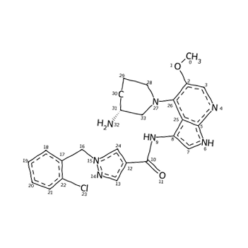 COc1cnc2[nH]cc(NC(=O)c3cnn(Cc4ccccc4Cl)c3)c2c1N1CCC[C@@H](N)C1